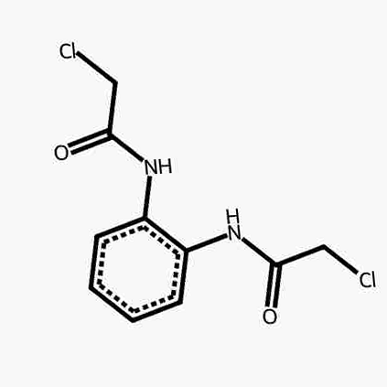 O=C(CCl)Nc1ccccc1NC(=O)CCl